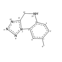 Cc1ccc2c(c1)-n1nnnc1CN2